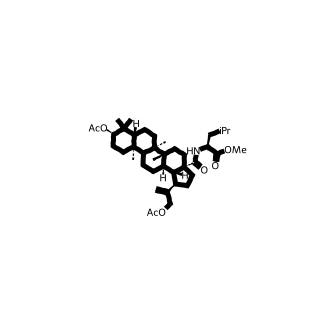 C=C(COC(C)=O)[C@@H]1CC[C@]2(C(=O)N[C@@H](CC(C)C)C(=O)OC)CC[C@]3(C)[C@H](CCC4[C@@]5(C)CC[C@H](OC(C)=O)C(C)(C)[C@@H]5CC[C@]43C)[C@@H]12